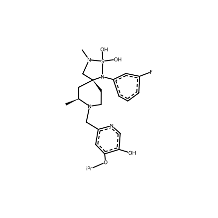 CC(C)Oc1cc(CN2CC[C@@]3(C[C@@H]2C)CN(C)S(O)(O)N3c2cccc(F)c2)ncc1O